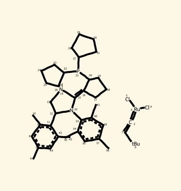 CC(C)(C)C=[C]=[Ru]([Cl])[Cl].Cc1cc(C)c(C2CNC(=C3CCCC3P(C3CCCC3)C3CCCC3)N2c2c(C)cc(C)cc2C)c(C)c1